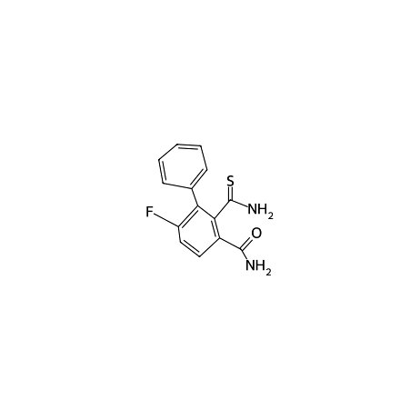 NC(=O)c1ccc(F)c(-c2ccccc2)c1C(N)=S